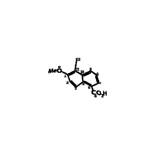 COc1ccc2c(C(=O)O)cccc2c1I